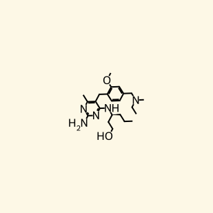 CCC[C@@H](CCO)Nc1nc(N)nc(C)c1Cc1ccc(CN(C)CC)cc1OC